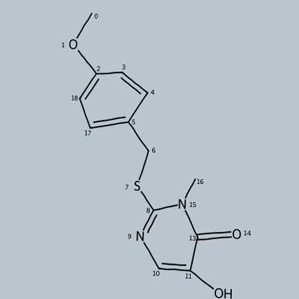 COc1ccc(CSc2ncc(O)c(=O)n2C)cc1